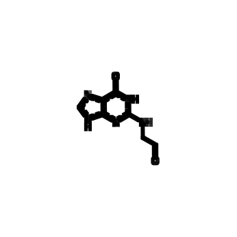 O=CCNc1nc2[nH]cnc2c(=O)[nH]1